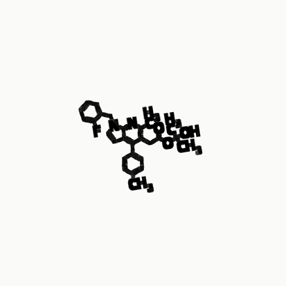 Cc1ccc(-c2c(CC(=O)OC(C)(C)O)c(C)nc3c2ccn3Cc2ccccc2F)cc1